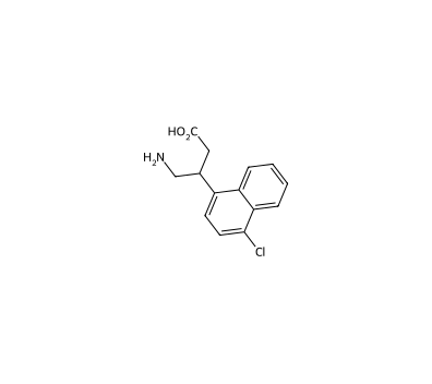 NCC(CC(=O)O)c1ccc(Cl)c2ccccc12